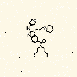 CCCCN(CCCC)C(=O)c1ccc2nc(Nc3ccsc3)n(CCCN3CCCCC3)c2c1